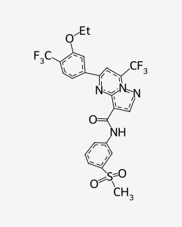 CCOc1cc(-c2cc(C(F)(F)F)n3ncc(C(=O)Nc4cccc(S(C)(=O)=O)c4)c3n2)ccc1C(F)(F)F